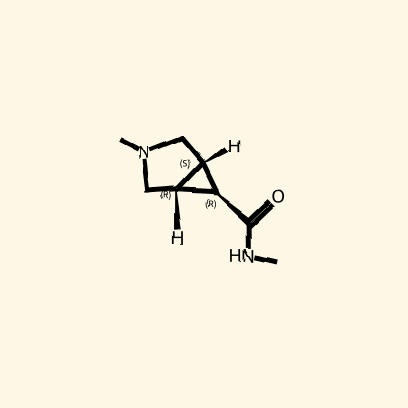 CNC(=O)[C@H]1[C@@H]2CN(C)C[C@@H]21